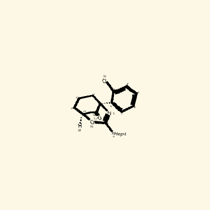 CCCCCCCC1=N[C@]2(c3ccccc3Cl)CCC[C@H](O1)C2=O